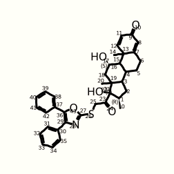 C[C@@H]1CC2C3CCC4=CC(=O)C=CC4(C)C3[C@@H](O)CC2(C)[C@@]1(O)C(=O)CSc1nc(-c2ccccc2)c(-c2ccccc2)o1